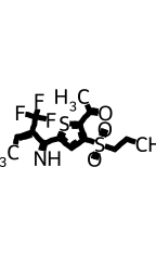 C/C=C(\C(=N)c1cc(S(=O)(=O)CCC)c(C(C)=O)s1)C(F)(F)F